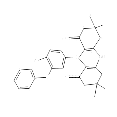 CC1(C)CC(=O)C2=C(C1)NC1=C(C(=O)CC(C)(C)C1)C2c1ccc(Cl)c(Sc2ccccc2)c1